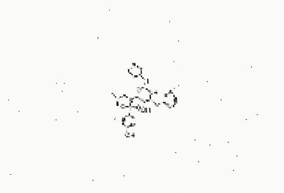 CC(C)CN(C[C@@H](O)[C@H](Cc1ccccc1)NC(=O)O[C@H]1CCSC1)S(=O)(=O)c1ccc(O)cc1